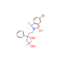 COC(=O)N(CCC(O)(CC(C)(C)O)c1ccccc1)[C@@](C)(I)c1ccc(Br)cc1